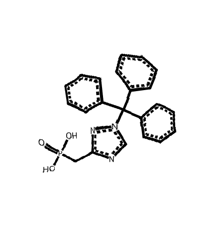 O=P(O)(O)Cc1ncn(C(c2ccccc2)(c2ccccc2)c2ccccc2)n1